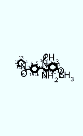 CCn1c(-c2ccc(C(=O)N3CCCC3)cc2)c(N)c2cc(OC)ccc21